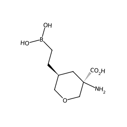 N[C@@]1(C(=O)O)COC[C@@H](CCB(O)O)C1